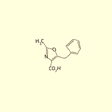 Cc1nc(C(=O)O)c(Cc2ccccc2)o1